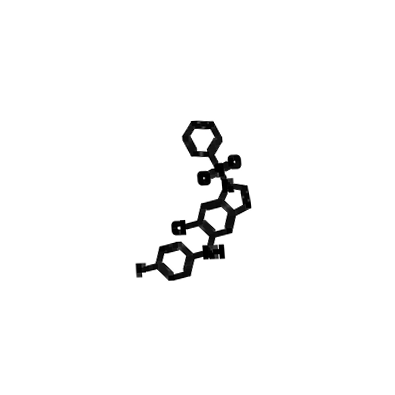 O=S(=O)(c1ccccc1)n1ccc2cc(Nc3ccc(F)cc3)c(Cl)cc21